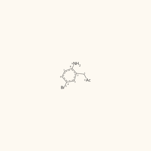 CC(=O)Cc1cc(Br)ccc1N